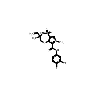 C=CC1(C)COc2c(cn(C)c2C(=O)Nc2ccc(F)c(C(F)(F)F)c2)S(=O)(=O)N1